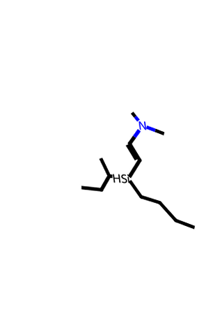 CCCC[SiH](C=CN(C)C)C(C)CC